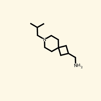 CC(C)CN1CCC2(CC1)CC(CN)C2